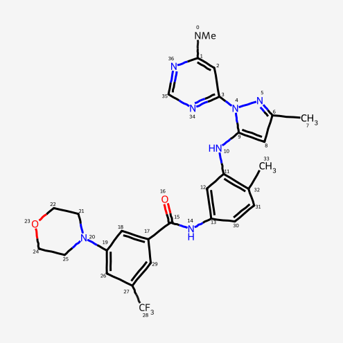 CNc1cc(-n2nc(C)cc2Nc2cc(NC(=O)c3cc(N4CCOCC4)cc(C(F)(F)F)c3)ccc2C)ncn1